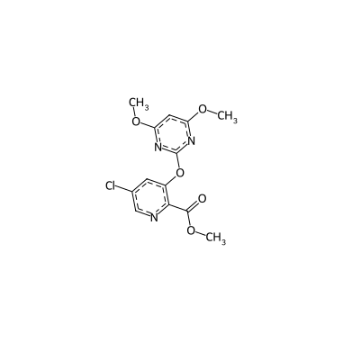 COC(=O)c1ncc(Cl)cc1Oc1nc(OC)cc(OC)n1